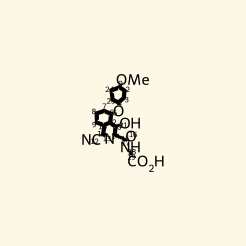 COc1ccc(Oc2cccc3c(C#N)nc(C(=O)NCC(=O)O)c(O)c23)cc1